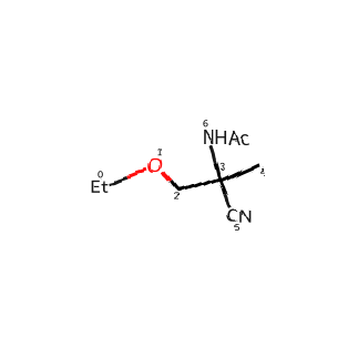 CCOCC(C)(C#N)NC(C)=O